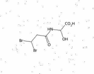 O=C(CC(Br)Br)NC(O)C(=O)O